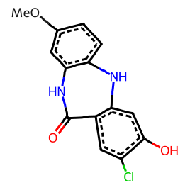 COc1ccc2c(c1)NC(=O)c1cc(Cl)c(O)cc1N2